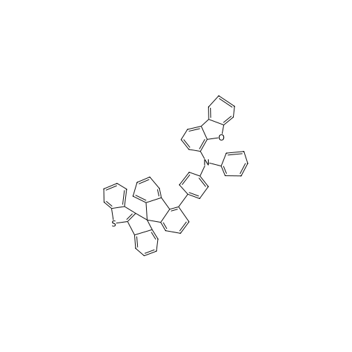 c1ccc(N(c2ccc(-c3cccc4c3-c3ccccc3C43c4ccccc4-c4sc5ccccc5c43)cc2)c2cccc3c2oc2ccccc23)cc1